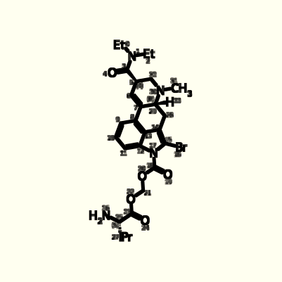 CCN(CC)C(=O)[C@@H]1C=C2c3cccc4c3c(c(Br)n4C(=O)OCOC(=O)[C@@H](N)C(C)C)C[C@H]2N(C)C1